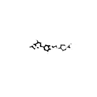 Cc1cn2nc(-c3cc(F)c4nc(CNC5CCN(C(=O)OC(C)(C)C)CC5)sc4c3)cc(C)c2n1